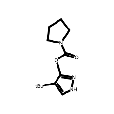 CC(C)(C)c1c[nH]nc1OC(=O)N1CCCC1